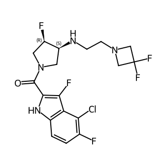 O=C(c1[nH]c2ccc(F)c(Cl)c2c1F)N1C[C@@H](F)[C@@H](NCCN2CC(F)(F)C2)C1